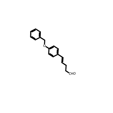 O=CCCC=Cc1ccc(OCc2ccccc2)cc1